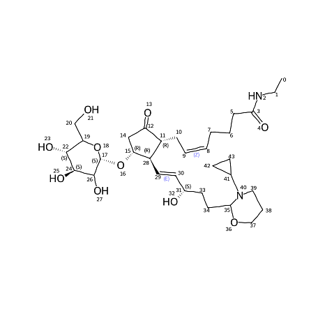 CCNC(=O)CCC/C=C\C[C@H]1C(=O)C[C@@H](O[C@H]2OC(CO)[C@@H](O)[C@H](O)C2O)[C@@H]1/C=C/[C@@H](O)CCC1OCCCN1C1CC1